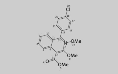 COC=C(C(=O)OC)c1ccccc1C(=NOC)c1ccc(Cl)cc1